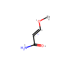 CCO/C=C/C(N)=O